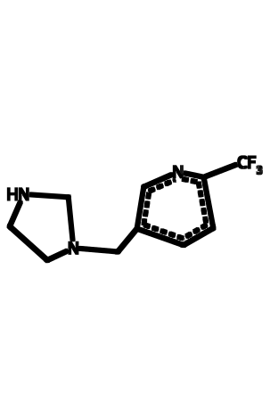 FC(F)(F)c1ccc(CN2CCNC2)cn1